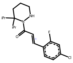 CC(C)C1(C(C)C)CCCNN1C(=O)/C=C/c1ccc(Cl)cc1F